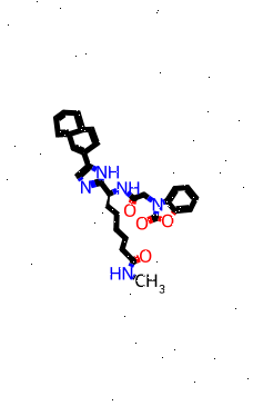 CNC(=O)CCCCC[C@H](NC(=O)Cn1c(=O)oc2ccccc21)c1ncc(-c2ccc3ccccc3c2)[nH]1